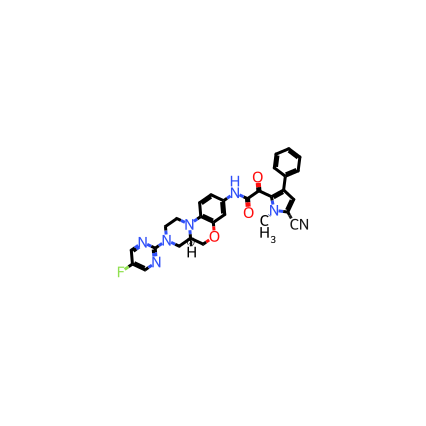 Cn1c(C#N)cc(-c2ccccc2)c1C(=O)C(=O)Nc1ccc2c(c1)OC[C@@H]1CN(c3ncc(F)cn3)CCN21